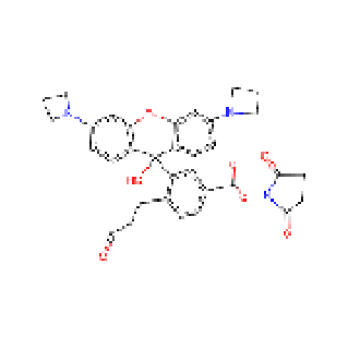 O=CCCc1ccc(C(=O)ON2C(=O)CCC2=O)cc1C1(O)c2ccc(N3CCC3)cc2Oc2cc(N3CCC3)ccc21